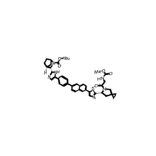 COC(=O)NCC(=O)N1CC2(CC2)C[C@H]1c1ncc(-c2ccc3cc(-c4ccc(-c5cnc([C@@H]6[C@H]7CCC(C7)N6C(=O)OC(C)(C)C)[nH]5)cc4)ccc3c2)[nH]1